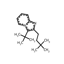 CC(C)(C)CCc1nc2ccccn2c1C(C)(C)C